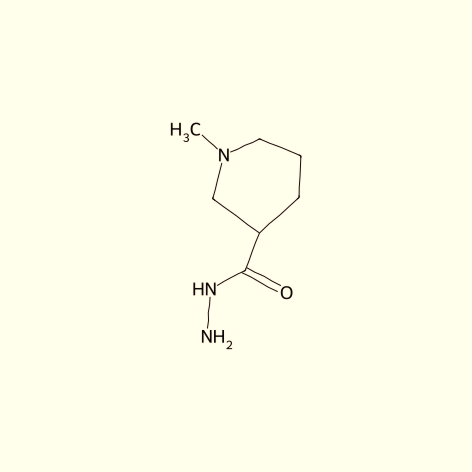 CN1CCCC(C(=O)NN)C1